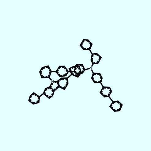 c1ccc(-c2ccc(-c3ccc(N(c4ccc(-c5ccc(-c6ccccc6-n6c7cc(-c8ccccc8)ccc7c7ccc(-c8ccccc8)cc76)cc5)cc4)c4cccc(-c5ccccc5)c4)cc3)cc2)cc1